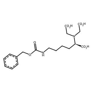 O=C(O)CN(CC(=O)O)[C@H](CCCCNC(=O)OCc1ccccc1)C(=O)O